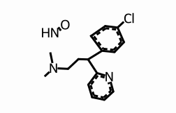 CN(C)CCC(c1ccc(Cl)cc1)c1ccccn1.N=O